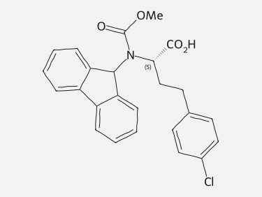 COC(=O)N(C1c2ccccc2-c2ccccc21)[C@@H](CCc1ccc(Cl)cc1)C(=O)O